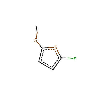 CSc1ccc(F)s1